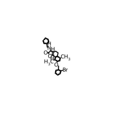 Cc1cc(OCc2ccccc2Br)c(C)c2c1CC[C@H]1C(NCc3ccccc3)C(=O)O[C@@H]21